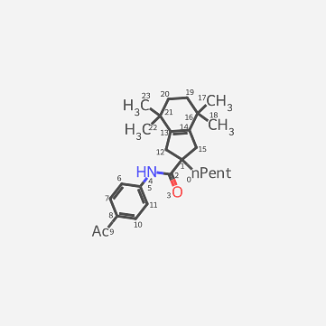 CCCCCC1(C(=O)Nc2ccc(C(C)=O)cc2)CC2=C(C1)C(C)(C)CCC2(C)C